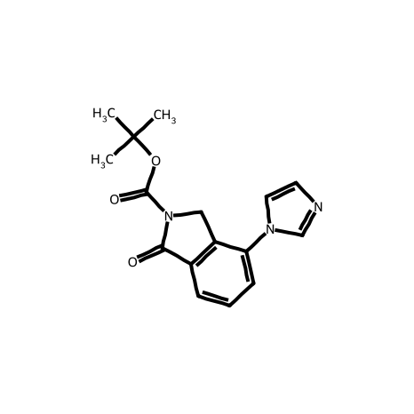 CC(C)(C)OC(=O)N1Cc2c(cccc2-n2ccnc2)C1=O